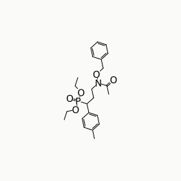 CCOP(=O)(OCC)C(CCN(OCc1ccccc1)C(C)=O)c1ccc(C)cc1